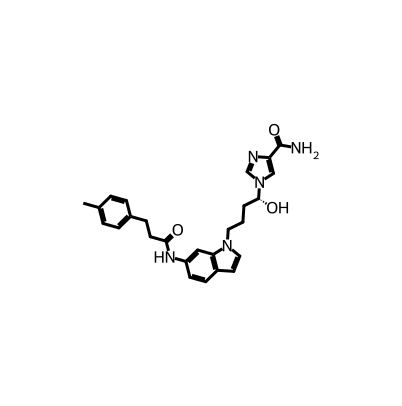 Cc1ccc(CCC(=O)Nc2ccc3ccn(CCC[C@@H](O)n4cnc(C(N)=O)c4)c3c2)cc1